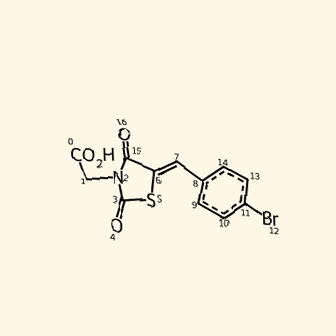 O=C(O)CN1C(=O)S/C(=C\c2ccc(Br)cc2)C1=O